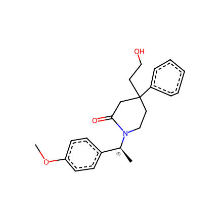 COc1ccc([C@H](C)N2CCC(CCO)(c3ccccc3)CC2=O)cc1